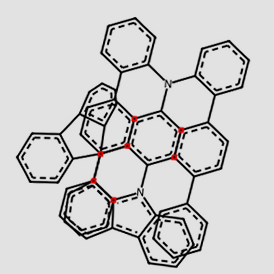 c1ccc(-c2ccc(-c3ccccc3N(c3ccc4c(c3)C3(c5ccccc5-c5ccccc53)c3cccc5c6ccccc6n-4c35)c3ccccc3-c3ccc(-c4ccccc4)cc3)cc2)cc1